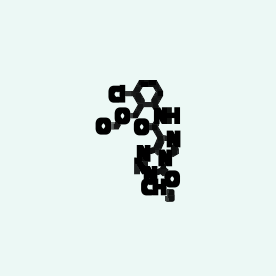 Cn1nnc2c(C(=O)Nc3cccc(Cl)c3COC=O)ncn2c1=O